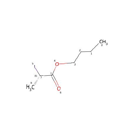 CCCCOC(=O)[C@H](C)I